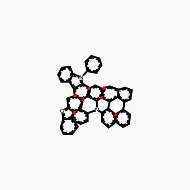 c1ccc(-c2cccc3cccc(-c4ccccc4N(c4ccccc4-c4ccc5oc6ccccc6c5c4)c4ccccc4-c4ccc5c(c4)c4ccccc4n5-c4ccccc4)c23)cc1